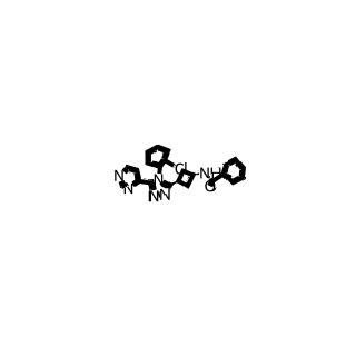 O=C(N[C@H]1C[C@H](c2nnc(-c3ccncn3)n2-c2ccccc2Cl)C1)c1ccccc1